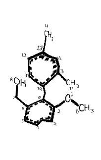 COc1cccc(CO)c1-c1ccc(C)cc1C